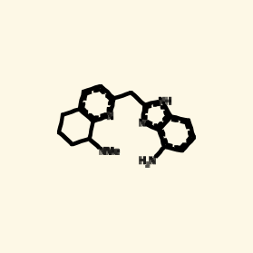 CNC1CCCc2ccc(Cc3nc4c(N)cccc4[nH]3)nc21